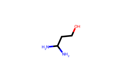 NC(N)CCO